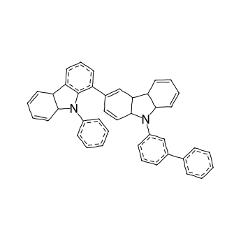 C1=CC2c3cccc(C4=CC5C6C=CC=CC6N(c6cccc(-c7ccccc7)c6)C5C=C4)c3N(c3ccccc3)C2C=C1